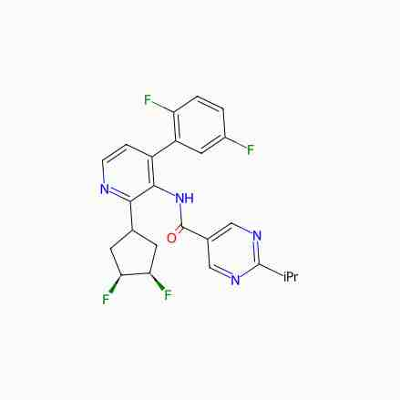 CC(C)c1ncc(C(=O)Nc2c(-c3cc(F)ccc3F)ccnc2C2C[C@@H](F)[C@@H](F)C2)cn1